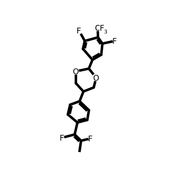 C/C(F)=C(\F)c1ccc(C2COC(c3cc(F)c(C(F)(F)F)c(F)c3)OC2)cc1